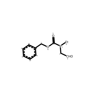 CCN(CC=O)C(=O)OCc1ccccc1